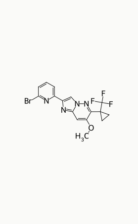 COc1cc2nc(-c3cccc(Br)n3)cn2nc1C1(C(F)(F)F)CC1